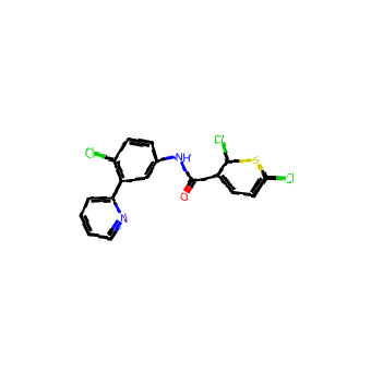 O=C(Nc1ccc(Cl)c(-c2ccccn2)c1)C1=CC=C(Cl)SC1Cl